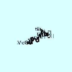 COCN1C=CN2c3cc(Oc4ccccc4CNC(=O)Nc4cc(C(C)(C)C)nn4-c4ccc(O)c(Cl)c4)ccc3SC12